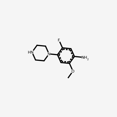 COc1cc(N2CCNCC2)c(F)cc1N